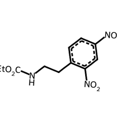 CCOC(=O)NCCc1ccc([N+](=O)[O-])cc1[N+](=O)[O-]